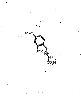 COc1ccc(CNNC(=O)O)c(OC)c1